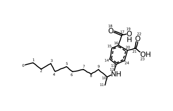 CCCCCCCCCCC(C)Nc1ccc(C(=O)O)c(C(=O)O)c1